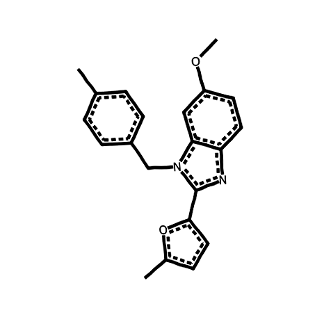 COc1ccc2nc(-c3ccc(C)o3)n(Cc3ccc(C)cc3)c2c1